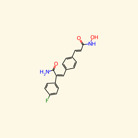 NC(=O)C(=Cc1ccc(C=CC(=O)NO)cc1)c1ccc(F)cc1